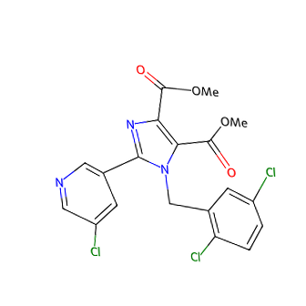 COC(=O)c1nc(-c2cncc(Cl)c2)n(Cc2cc(Cl)ccc2Cl)c1C(=O)OC